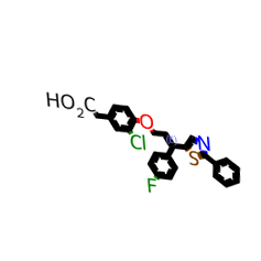 O=C(O)Cc1ccc(OC/C=C(\c2ccc(F)cc2)c2cnc(-c3ccccc3)s2)c(Cl)c1